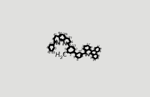 C=C1C=C(c2cccc(-c3nc4c5ccccc5c5ccccc5c4c4ccccc34)c2)C=CC(c2ccc3ccc4ccc(-c5ccccc5)nc4c3n2)=C1